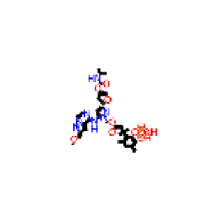 COCc1cc2c(Nc3cc([C@@H]4C[C@H](OC(=O)NC(C)C)CO4)nn3COC(=O)CC(C)(C)c3c(C)cc(C)cc3OP(=O)(O)O)nccn2n1